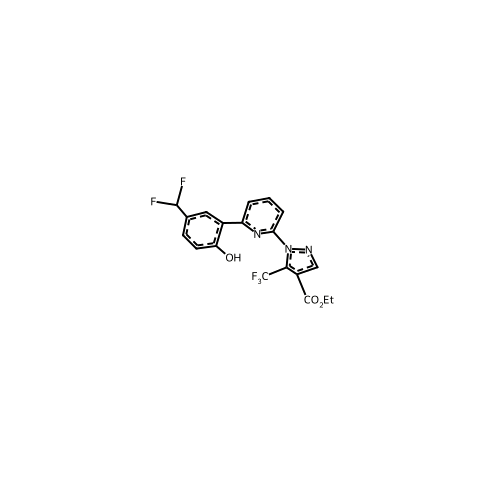 CCOC(=O)c1cnn(-c2cccc(-c3cc(C(F)F)ccc3O)n2)c1C(F)(F)F